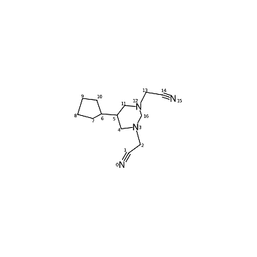 N#CCN1CC(C2CCCC2)CN(CC#N)C1